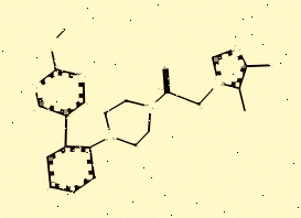 COc1ncc(-c2ccccc2N2CCN(C(=O)Cn3cnc(Cl)c3Cl)CC2)cn1